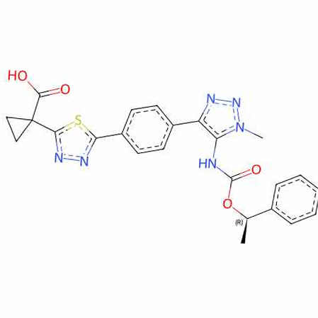 C[C@@H](OC(=O)Nc1c(-c2ccc(-c3nnc(C4(C(=O)O)CC4)s3)cc2)nnn1C)c1ccccc1